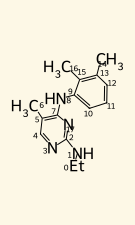 CCNc1ncc(C)c(Nc2cccc(C)c2C)n1